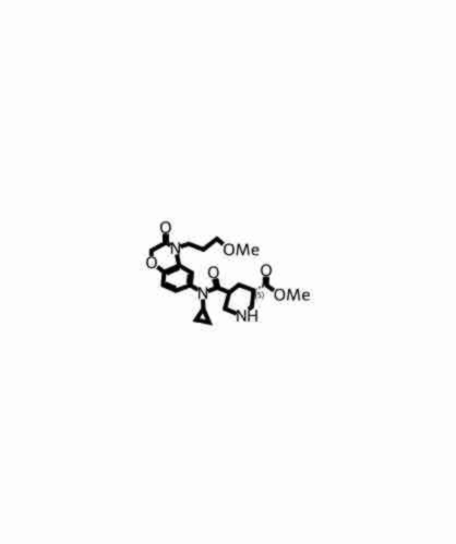 COCCCN1C(=O)COc2ccc(N(C(=O)C3CNC[C@@H](C(=O)OC)C3)C3CC3)cc21